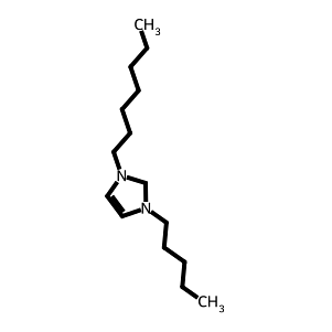 CCCCCCCN1C=CN(CCCCC)C1